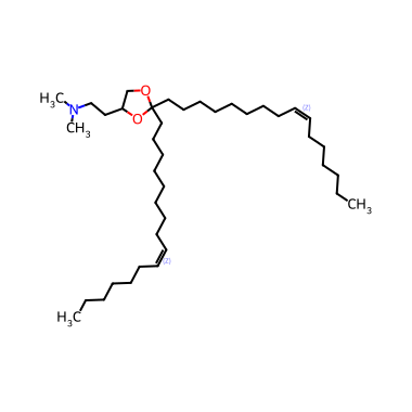 CCCCCC/C=C\CCCCCCCCC1(CCCCCCCC/C=C\CCCCCC)OCC(CCN(C)C)O1